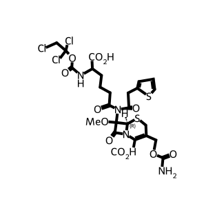 COC1(N(C(=O)CCCC(NC(=O)OC(Cl)(Cl)CCl)C(=O)O)C(=O)Cc2cccs2)C(=O)N2C(C(=O)O)=C(COC(N)=O)CS[C@@H]21